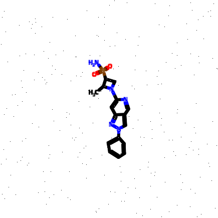 CC1C(S(N)(=O)=O)CN1c1cc2nn(-c3ccccc3)cc2cn1